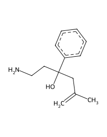 C=C(C)CC(O)(CCN)c1ccccc1